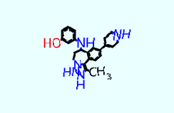 CC1=C2c3ccc(C4=CCNCC4)cc3C(Nc3cccc(O)c3)CCN2NN1